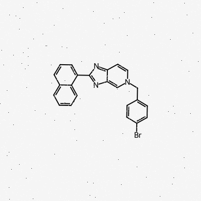 Brc1ccc(Cn2ccc3nc(-c4cccc5ccccc45)nc-3c2)cc1